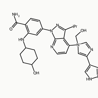 CC(C)c1nn(-c2ccc(C(N)=O)c(NC3CCC(O)CC3)c2)c2nccc([N+]3(CO)C=NC(c4cn[nH]c4)=C3)c12